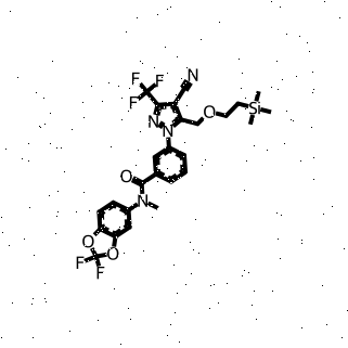 CN(C(=O)c1cccc(-n2nc(C(F)(F)F)c(C#N)c2COCC[Si](C)(C)C)c1)c1ccc2c(c1)OC(F)(F)O2